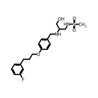 CS(=O)(=O)NCC(CO)NCc1ccc(OCCCc2cccc(F)c2)cc1